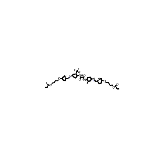 C=CC(=O)OCCCCOc1ccc(/C=N/c2ccc(NC(=O)C(=O)Nc3ccc(/N=C/c4ccc(OCCCCOC(=O)C=C)cn4)cc3C(F)(F)F)c(C)c2)nc1